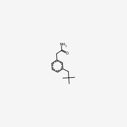 CC(C)(C)Cc1cccc(CC(N)=O)c1